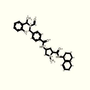 CC(c1ccccc1Cl)N(C=O)Cc1ccc(C(=O)NC2CC(C(=O)NC3CCCC4=C3C=CCC4)N(C)C2)cc1